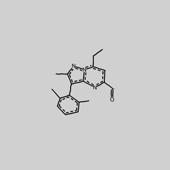 CCc1cc([C]=O)nc2c(-c3c(C)cccc3C)c(C)nn12